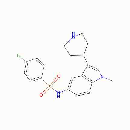 Cn1cc(C2CCNCC2)c2cc(NS(=O)(=O)c3ccc(F)cc3)ccc21